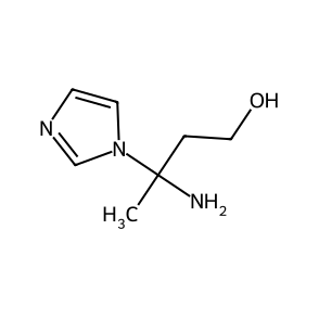 CC(N)(CCO)n1ccnc1